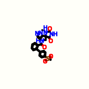 Cn1nccc1C1(CNC(=O)c2ccccc2-c2ccc(S(C)(=O)=O)cc2)NC(=O)NC1=O